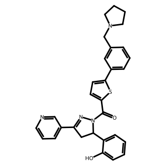 O=C(c1ccc(-c2cccc(CN3CCCC3)c2)s1)N1N=C(c2cccnc2)CC1c1ccccc1O